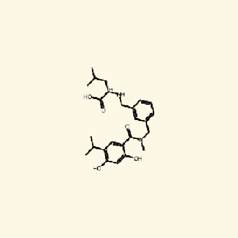 CC(C)C[C@@H](NCc1cccc(CN(C)C(=O)c2cc(C(C)C)c(O)cc2O)c1)C(=O)O